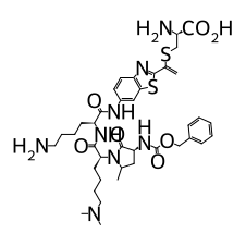 C=C(SC[C@@H](N)C(=O)O)c1nc2ccc(NC(=O)[C@H](CCCCN)NC(=O)[C@H](CCCCN(C)C)N3C(=O)[C@@H](NC(=O)OCc4ccccc4)CC3C)cc2s1